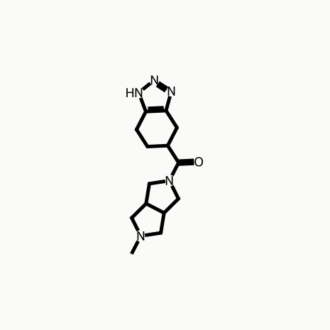 CN1CC2CN(C(=O)C3CCc4[nH]nnc4C3)CC2C1